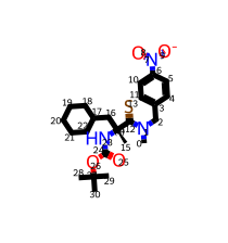 CN(Cc1ccc([N+](=O)[O-])cc1)C(=S)[C@@](C)(CC1CCCCC1)NC(=O)OC(C)(C)C